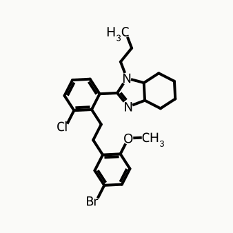 CCCN1C(c2cccc(Cl)c2CCc2cc(Br)ccc2OC)=NC2CCCCC21